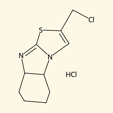 Cl.ClCC1=CN2C(=NC3CCCCC32)S1